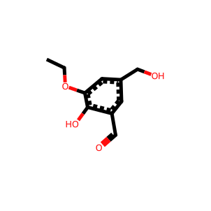 CCOc1cc(CO)cc(C=O)c1O